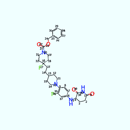 O=C1CCC(Nc2ccc(N3CCC(CCC4(F)CCN(C(=O)OCc5ccccc5)CC4)CC3)c(F)c2)C(=O)N1